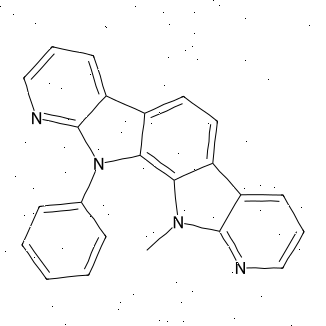 Cn1c2ncccc2c2ccc3c4cccnc4n(-c4ccccc4)c3c21